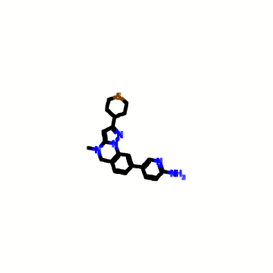 CN1Cc2ccc(-c3ccc(N)nc3)cc2-n2nc(C3CCSCC3)cc21